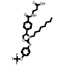 CCCCCCCCN1/C(=N/c2ccc(OC(F)(F)F)cc2)OCC1c1ccc(C(=O)NCCC(=O)O)cc1